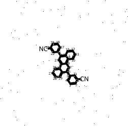 N#Cc1cccc(-c2cc3c4ccccc4c(-c4cccc(C#N)c4)cc3c3ccccc23)c1